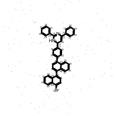 Brc1ccc(-c2ccc(-c3ccc(C4C=C(c5ccccc5)N=C(c5ccccc5)N4)cc3)c3ccccc23)c2ccccc12